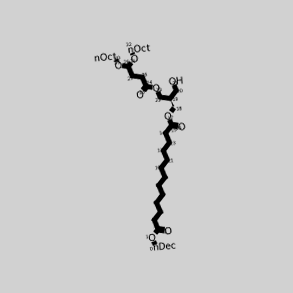 CCCCCCCCCCOC(=O)CCCCCCCCCCCC(=O)OC[C@@H](CO)COC(=O)CCC(OCCCCCCCC)OCCCCCCCC